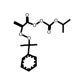 C=C(OOC(C)(C)c1ccccc1)C(=O)OOC(=O)OC(C)C